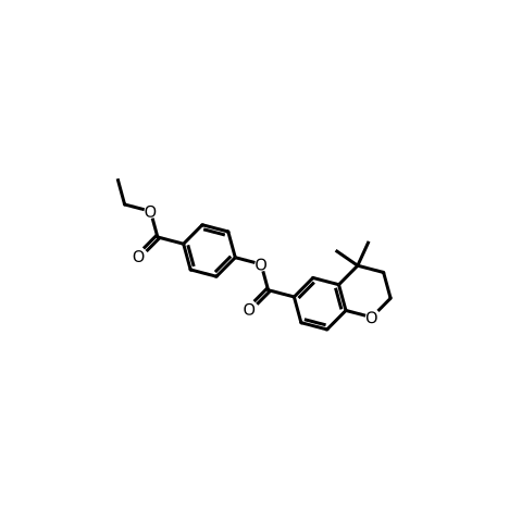 CCOC(=O)c1ccc(OC(=O)c2ccc3c(c2)C(C)(C)CCO3)cc1